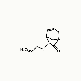 C=CCON1C(=O)N2CC=CC1C2